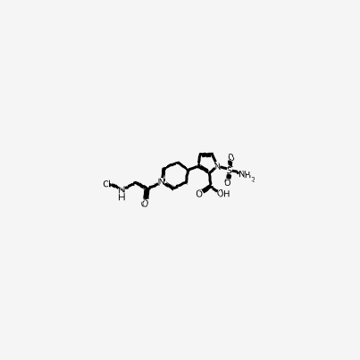 NS(=O)(=O)n1ccc(C2CCN(C(=O)CNCl)CC2)c1C(=O)O